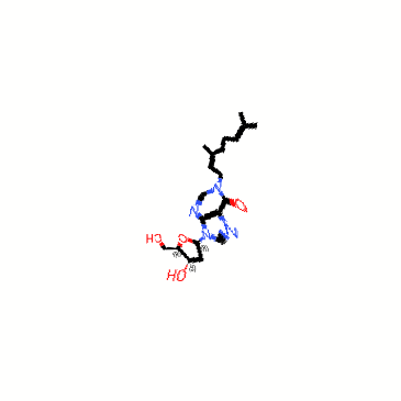 CC(C)=CCCC(C)=CCn1cnc2c(ncn2[C@H]2C[C@H](O)[C@@H](CO)O2)c1=O